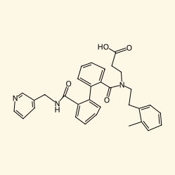 Cc1ccccc1CCN(CCC(=O)O)C(=O)c1ccccc1-c1ccccc1C(=O)NCc1cccnc1